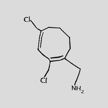 NCC1=C(Cl)C=C(Cl)CC1